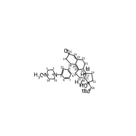 CN1CCN(c2ccc([C@H]3C[C@@]4(C)[C@@H](CC[C@@]4(O)CC(C)(C)C)[C@@H]4CCC5=CC(=O)CCC5=C43)cc2)CC1